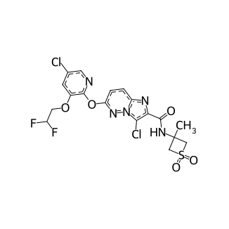 CC1(NC(=O)c2nc3ccc(Oc4ncc(Cl)cc4OCC(F)F)nn3c2Cl)CS(=O)(=O)C1